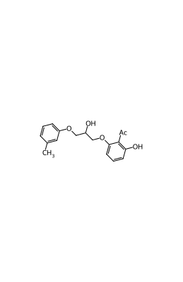 CC(=O)c1c(O)cccc1OCC(O)COc1cccc(C)c1